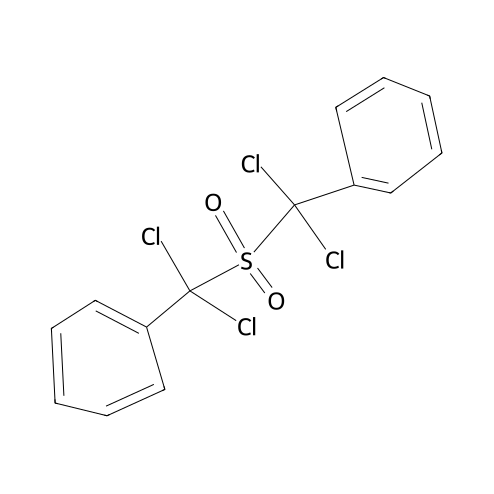 O=S(=O)(C(Cl)(Cl)c1ccccc1)C(Cl)(Cl)c1ccccc1